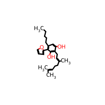 CCCCCc1cc(O)c(C/C=C(\C)CCC=C(C)C)c(O)c1-c1ccco1